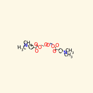 CN(C)c1ccc(C(=O)C(=O)O/C=C\OOCCOC(=O)C(=O)c2ccc(N(C)C)cc2)cc1